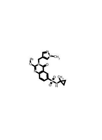 CC(C)Oc1nc2ccc(S(=O)(=O)NC3(C)CC3)cc2c(=O)n1Cc1cnn(C)c1